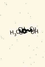 CC(C)Oc1ccc(CC[CH](O)[Cu])cc1